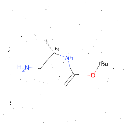 C=C(N[C@@H](C)CN)OC(C)(C)C